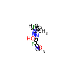 Cn1cc(F)c(-c2ccc(-c3ncc(N(C4CC4)[C@@H]4C[C@@]5(C)CCC[C@](C)(C5)[C@@H]4F)nn3)c(O)c2)cc1=O